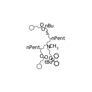 CCCCCC(CCOC(=O)CCC1CCCCC1)CCC(CCC(CCCCC)CCSCC(CCCC)OC(=O)CCC1CCCCC1)N(C)CCCCO[Si](c1ccccc1)(c1ccccc1)C(C)(C)C